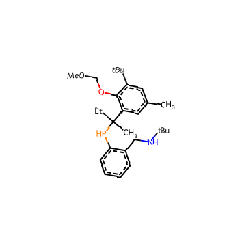 CCC(C)(Pc1ccccc1CNC(C)(C)C)c1cc(C)cc(C(C)(C)C)c1OCOC